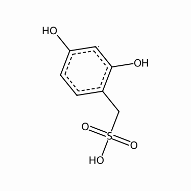 O=S(=O)(O)Cc1ccc(O)[c]c1O